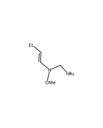 CC/C=C/N(CCCCC)OC